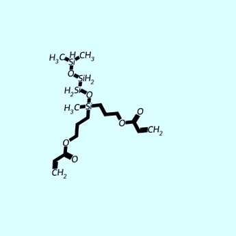 C=CC(=O)OCCC[Si](C)(CCCOC(=O)C=C)O[SiH2][SiH2]O[SiH](C)C